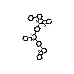 c1ccc(-c2nc(-c3ccc(-c4cccc5c4sc4ccccc45)cc3)cc(-c3ccc(-c4nc5c(-c6ccccc6)cccc5c5c4sc4ccccc45)cc3)n2)cc1